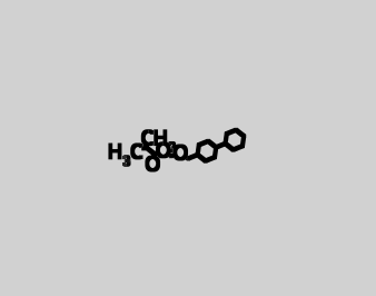 C=C(C)C(=O)OCOCC1CCC(C2CCCCC2)CC1